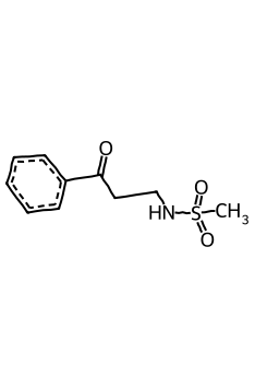 CS(=O)(=O)NCCC(=O)c1ccccc1